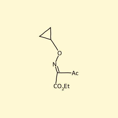 CCOC(=O)/C(=N/OC1CC1)C(C)=O